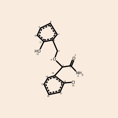 NC(=O)C(OCc1ccccc1O)c1ccccc1Cl